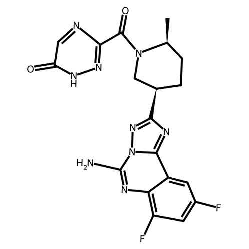 C[C@H]1CC[C@@H](c2nc3c4cc(F)cc(F)c4nc(N)n3n2)CN1C(=O)c1ncc(=O)[nH]n1